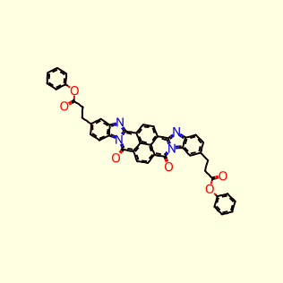 O=C(CCc1ccc2c(c1)nc1c3ccc4c5c(ccc(c(=O)n21)c35)c(=O)n1c2cc(CCC(=O)Oc3ccccc3)ccc2nc41)Oc1ccccc1